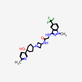 Cc1ccc([C@]2(O)CC[C@H](N3CC(NC(=O)CNc4nn(C)c5ccc(C(F)(F)F)cc45)C3)CC2)cn1